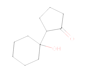 O=C1CCCC1C1(O)CCCCC1